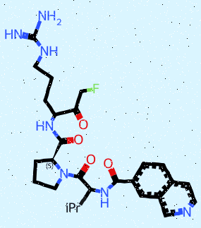 CC(C)C(NC(=O)c1ccc2ccncc2c1)C(=O)N1CCC[C@H]1C(=O)NC(CCCNC(=N)N)C(=O)CF